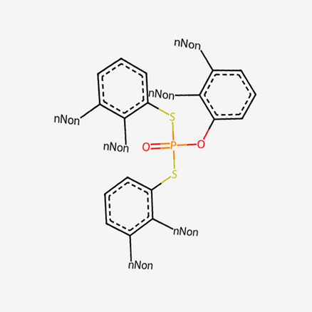 CCCCCCCCCc1cccc(OP(=O)(Sc2cccc(CCCCCCCCC)c2CCCCCCCCC)Sc2cccc(CCCCCCCCC)c2CCCCCCCCC)c1CCCCCCCCC